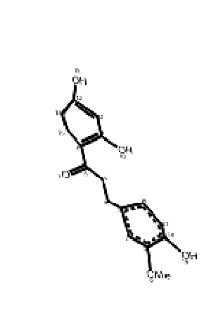 COc1cc(CCC(=O)C2=C(O)C=C(O)CC2)ccc1O